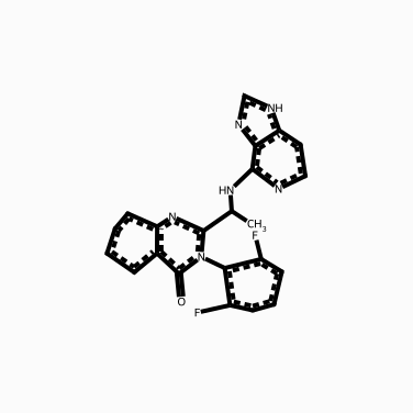 CC(Nc1nccc2[nH]cnc12)c1nc2ccccc2c(=O)n1-c1c(F)cccc1F